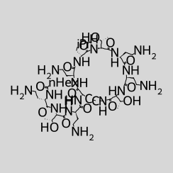 CCCCCCC(=O)N[C@@H](CCN)C(=O)N[C@H](C(=O)N[C@H](CCN)C(=O)N[C@H]1CCNC(=O)[C@H]([C@@H](C)O)NC(=O)[C@H](CCN)NC(=O)[C@H](CCN)NC(=O)[C@H]([C@@H](C)O)NC(=O)[C@@H](CC(C)C)NC(=O)[C@H](CCN)NC1=O)[C@@H](C)O